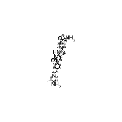 C[C@@H]1CN(CCc2ccc(-n3ccc(NC(=O)N4CCN(C(=O)C(C)(C)N)CC4)nc3=O)cc2)CC[C@H]1N